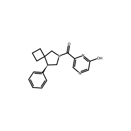 O=C(c1cncc(O)n1)N1C[C@@H](c2ccccc2)C2(CCC2)C1